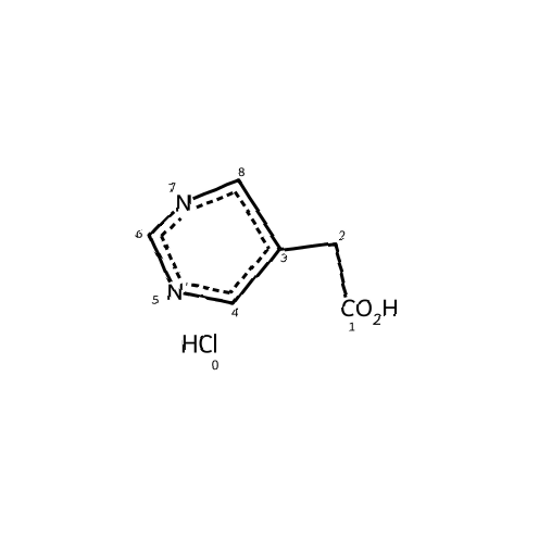 Cl.O=C(O)Cc1cncnc1